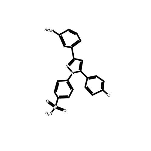 CC(=O)Nc1cccc(-c2cc(-c3ccc(Cl)cc3)n(-c3ccc(S(N)(=O)=O)cc3)n2)c1